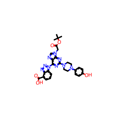 CC(C)(C)OC(=O)Cn1cnc2c(-n3nnc4c(C(=O)O)cccc43)nc(N3CCN(c4ccc(O)cc4)CC3)nc21